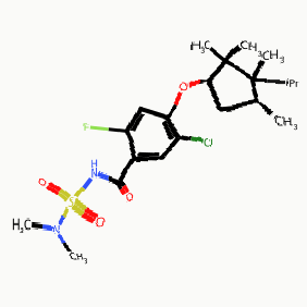 CC(C)C1(C)[C@@H](C)C[C@@H](Oc2cc(F)c(C(=O)NS(=O)(=O)N(C)C)cc2Cl)C1(C)C